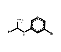 CC(C)C(Nc1cncc(Br)c1)C(=O)O